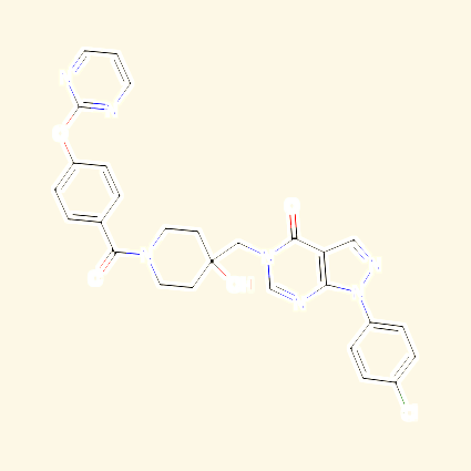 O=C(c1ccc(Oc2ncccn2)cc1)N1CCC(O)(Cn2cnc3c(cnn3-c3ccc(Cl)cc3)c2=O)CC1